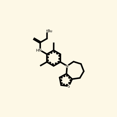 C=C(CC(C)(C)C)Nc1c(C)cc(N2CCCCc3sccc32)cc1C